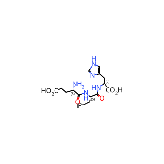 CC(C)C[C@H](NC(=O)[C@@H](N)CCC(=O)O)C(=O)N[C@@H](Cc1c[nH]cn1)C(=O)O